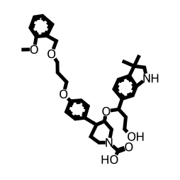 COc1ccccc1COCCCOc1ccc(C2CCN(C(=O)O)CC2OC(CCO)c2ccc3c(c2)NCC3(C)C)cc1